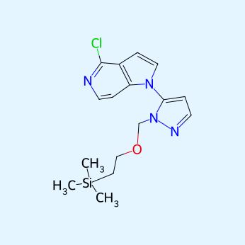 C[Si](C)(C)CCOCn1nccc1-n1ccc2c(Cl)nccc21